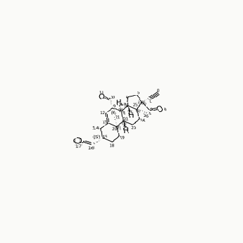 C#C[C@@]1(C=O)CC[C@H]2[C@@H]3[C@@H](C=O)C=C4C[C@@H](C=O)CC[C@]4(C)[C@H]3CC[C@@]21C